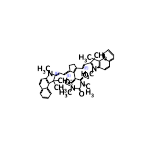 CN1/C(=C/C=C2\CCC(/C=C/C3=[N+](C)c4ccc5ccccc5c4C3(C)C)=C2c2c([O-])n(C)c(=O)n(C)c2=O)C(C)(C)c2c1ccc1ccccc21